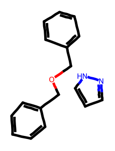 c1ccc(COCc2ccccc2)cc1.c1cn[nH]c1